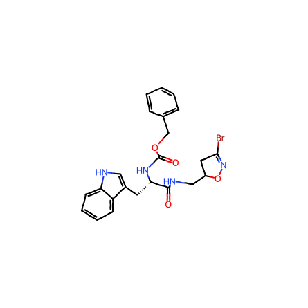 O=C(N[C@@H](Cc1c[nH]c2ccccc12)C(=O)NCC1CC(Br)=NO1)OCc1ccccc1